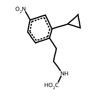 O=C(O)NCCc1ccc([N+](=O)[O-])cc1C1CC1